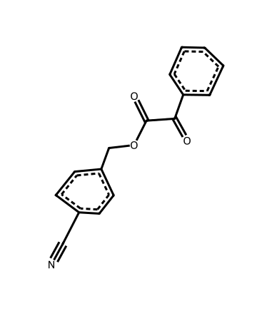 N#Cc1ccc(COC(=O)C(=O)c2ccccc2)cc1